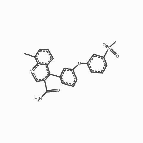 Cc1cccc2c(-c3cccc(Oc4cccc(S(C)(=O)=O)c4)c3)c(C(N)=O)cnc12